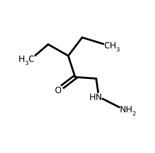 CCC(CC)C(=O)CNN